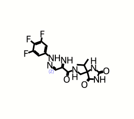 CC(C)C1(CNC(=O)C(=N)/C=N\Nc2cc(F)c(F)c(F)c2)NC(=O)NC1=O